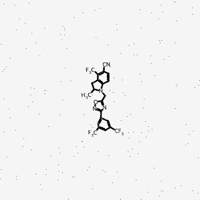 CC1Cc2c(ccc(C#N)c2C(F)(F)F)N1Cc1nc(-c2cc(C(F)(F)F)cc(C(F)(F)F)c2)no1